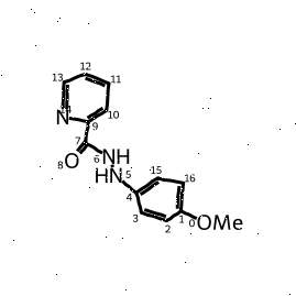 COc1ccc(NNC(=O)c2ccccn2)cc1